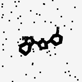 Fc1cccc(-c2csc(-c3n[nH]c4ccccc34)n2)c1